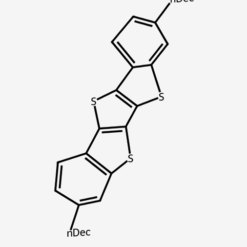 CCCCCCCCCCc1ccc2c(c1)sc1c2sc2c3ccc(CCCCCCCCCC)cc3sc21